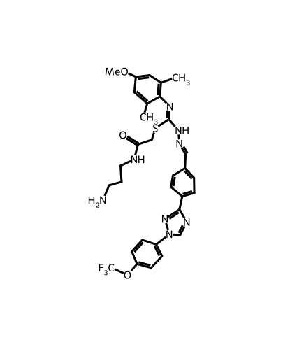 COc1cc(C)c(/N=C(/N/N=C/c2ccc(-c3ncn(-c4ccc(OC(F)(F)F)cc4)n3)cc2)SCC(=O)NCCCN)c(C)c1